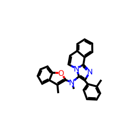 Cc1ccccc1-c1nc2c3ccccc3ccn2c1N(C)c1oc2ccccc2c1C